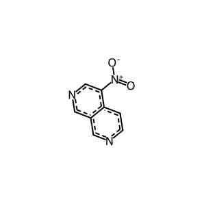 O=[N+]([O-])c1cncc2cnccc12